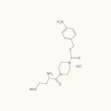 CSCCC(N)C(=O)N1CCN(C(=S)SCc2ccc([N+](=O)[O-])cc2)CC1.Cl